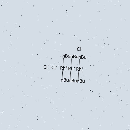 CCC[CH2][Rh+][CH2]CCC.CCC[CH2][Rh+][CH2]CCC.CCC[CH2][Rh+][CH2]CCC.[Cl-].[Cl-].[Cl-]